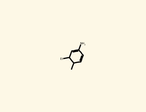 CCC1C=C(N)C=CC1C